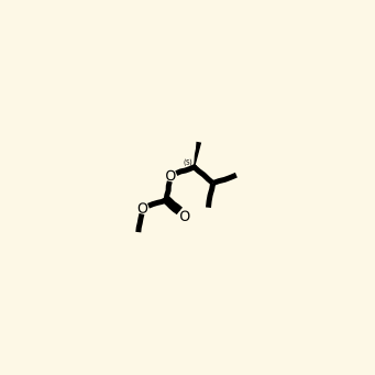 COC(=O)O[C@@H](C)C(C)C